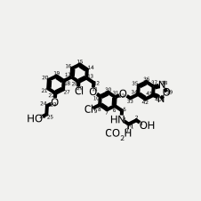 O=C(O)[C@@H](CO)NCc1cc(Cl)c(OCc2cccc(-c3cccc(OCCO)c3)c2Cl)cc1OCc1ccc2nonc2c1